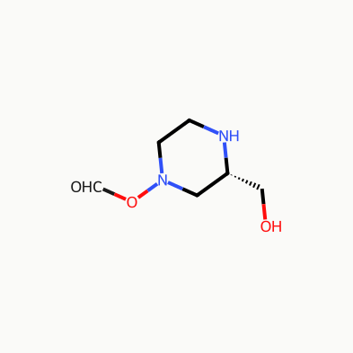 O=CON1CCN[C@H](CO)C1